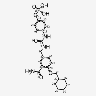 NC(=O)c1cc(CNC(=O)Nc2ccc(OP(=O)(O)O)cc2)ccc1OCC1CCCCC1